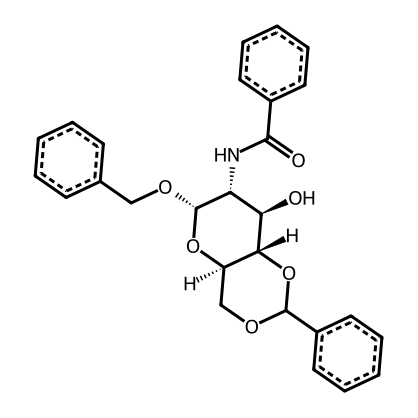 O=C(N[C@H]1[C@@H](OCc2ccccc2)O[C@@H]2COC(c3ccccc3)O[C@H]2[C@@H]1O)c1ccccc1